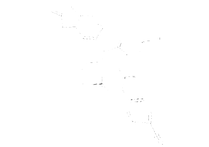 CC(=O)O[C@@H](C(=O)Cc1ccc(C#N)cc1)[C@@H](CC(=O)O)C(=O)N(CCCl)c1ccc2c(c1)CC(=O)N2